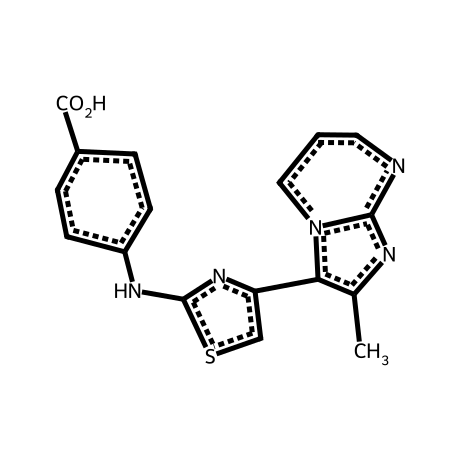 Cc1nc2ncccn2c1-c1csc(Nc2ccc(C(=O)O)cc2)n1